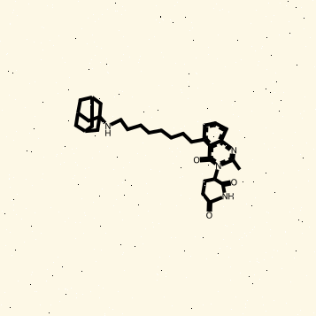 Cc1nc2cccc(CCCCCCCCNC34CC5CC(CC(C5)C3)C4)c2c(=O)n1C1CCC(=O)NC1=O